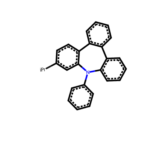 CC(C)c1ccc2c(c1)N(c1ccccc1)c1ccccc1-c1ccccc1-2